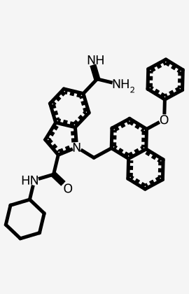 N=C(N)c1ccc2cc(C(=O)NC3CCCCC3)n(Cc3ccc(Oc4ccccc4)c4ccccc34)c2c1